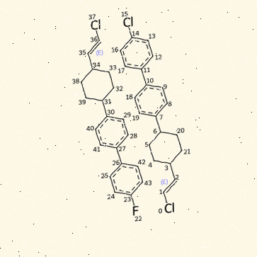 Cl/C=C/C1CCC(c2ccc(-c3ccc(Cl)cc3)cc2)CC1.Fc1ccc(-c2ccc(C3CCC(/C=C/Cl)CC3)cc2)cc1